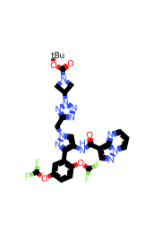 CC(C)(C)OC(=O)N1CC(n2nnc(Cn3cc(NC(=O)c4cnn5cccnc45)c(-c4cc(OC(F)F)ccc4OC(F)F)n3)n2)C1